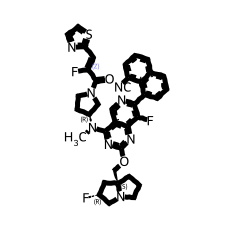 CN(c1nc(OC[C@@]23CCCN2C[C@H](F)C3)nc2c(F)c(-c3cccc4cccc(C#N)c34)ncc12)[C@@H]1CCN(C(=O)/C(F)=C/c2nccs2)C1